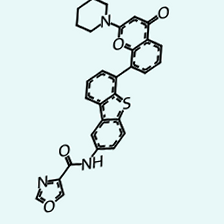 O=C(Nc1ccc2sc3c(-c4cccc5c(=O)cc(N6CCCCC6)oc45)cccc3c2c1)c1cocn1